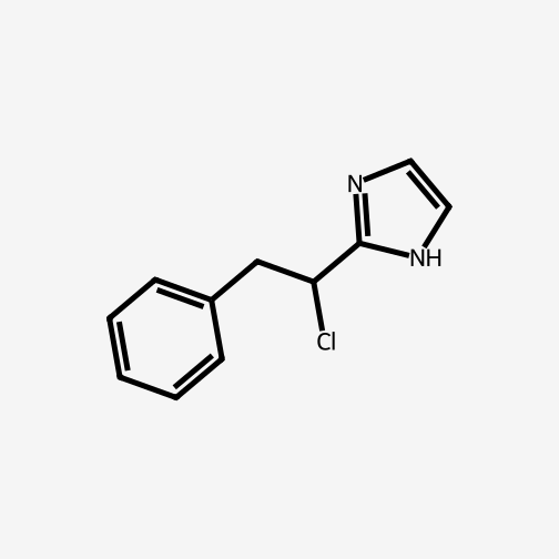 ClC(Cc1ccccc1)c1ncc[nH]1